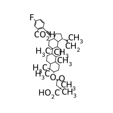 C=C(C)[C@@H]1CC[C@]2(C#Cc3ccc(F)cc3C(=O)O)CC[C@]3(C)C(CCC4[C@@]5(C)CC[C@H](OC(=O)CC(C)(C)C(=O)O)C(C)(C)C5CC[C@]43C)C12